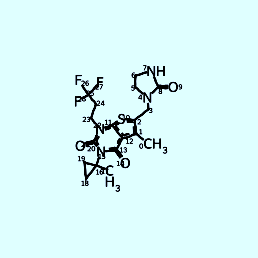 Cc1c(CN2CCNC2=O)sc2c1c(=O)n(C1(C)CC1)c(=O)n2CCC(F)(F)F